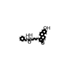 C[C@]12CCC3c4ccc(O)cc4CCC3C1[C@@H](CCCCNC(=O)NCC1CCCCC1)CC2=O